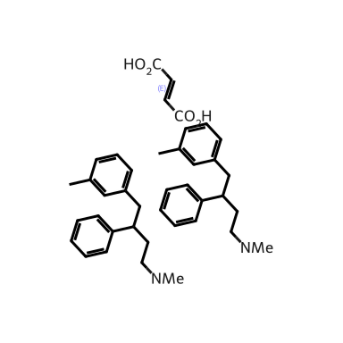 CNCCC(Cc1cccc(C)c1)c1ccccc1.CNCCC(Cc1cccc(C)c1)c1ccccc1.O=C(O)/C=C/C(=O)O